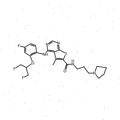 Cc1c(C(=O)NCCCN2CCCC2)sc2ncnc(Nc3ccc(F)cc3OC(CF)CF)c12